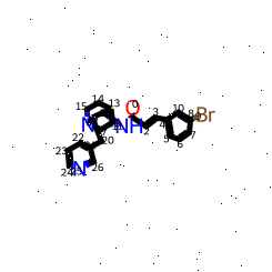 O=C(C=Cc1cccc(Br)c1)NC1C2CCN(CC2)C1Cc1cccnc1